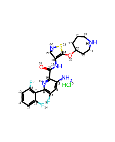 Cl.Nc1cc(F)c(-c2c(F)cccc2F)nc1C(=O)Nc1cnsc1OC1CCCNCC1